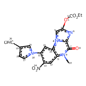 CCOC(=O)Oc1cn2c(n1)c(=O)n(C)c1cc([N+](=O)[O-])c(-n3ccc(C=O)c3)cc12